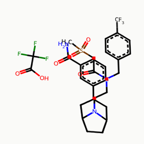 CS(=O)(=O)CC(=O)N(CCN1C2CCC1CC(c1cccc(C(N)=O)c1)C2)Cc1ccc(C(F)(F)F)cc1.O=C(O)C(F)(F)F